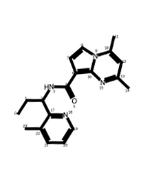 CCC(NC(=O)c1ccn2c(C)cc(C)nc12)c1ncccc1C